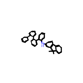 CC1(C)C2=CCCC=C2c2ccc(Nc3ccccc3-c3ccccc3-c3ccccc3-c3ccccc3)cc21